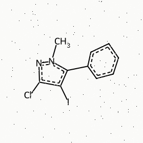 Cn1nc(Cl)c(I)c1-c1ccccc1